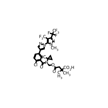 Cn1nc(C(F)(F)C(F)(F)F)c(C(F)(F)F)c1-n1cc(-c2ccc(Cl)c(C(=O)N(COC(=O)CC(C)(C)C(=O)O)C3(C#N)CC3)c2)cn1